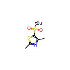 Cc1nc(C)c(S(=O)(=O)C(C)(C)C)s1